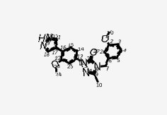 COc1cccc(Cn2c(C)nn(-c3ccc(-c4cn[nH]c4)c(OC)c3)c2=O)c1